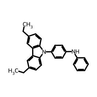 CCc1ccc2c(c1)c1cc(CC)ccc1n2-c1ccc(Nc2ccccc2)cc1